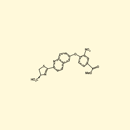 COC(=O)c1ccc(Oc2ccc3nc(C4=N[C@@H](C(=O)O)CS4)ccc3c2)c([N+](=O)[O-])c1